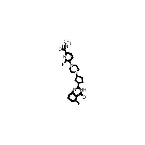 CNC(=O)c1ccc(N2CCN(C3CCC(c4nc5cccc(F)c5c(=O)[nH]4)C3)CC2)c(F)n1